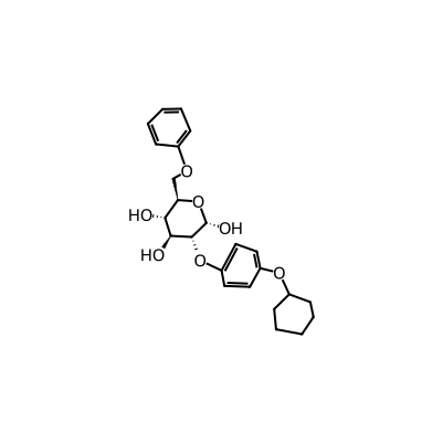 O[C@H]1[C@H](O)[C@@H](COc2ccccc2)O[C@H](O)[C@@H]1Oc1ccc(OC2CCCCC2)cc1